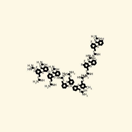 Cc1ccc(Sc2ccccc2CN=C(N)S)c(CSC(=N)N)c1.Cc1cccc(CSC(=N)N)c1Sc1ccccc1CN=C(N)S.N=C(N)S.N=C(N)SCc1cc(F)c(F)cc1Sc1ccccc1CN=C(N)S.N=C(N)SCc1ccc(Cl)cc1Sc1ccccc1CN=C(N)S.N=C(N)SCc1ccc(F)cc1Sc1ccc(F)cc1CN=C(N)S.N=C(N)SCc1ccc(F)cc1Sc1ccccc1CN=C(N)S